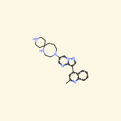 Cc1cc(-c2cnn3cc(N4CCCC5(CCNCC5)NCC4)cnc23)c2ccccc2n1